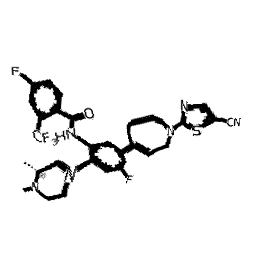 C[C@@H]1CN(c2cc(F)c(C3=CCN(c4ncc(C#N)s4)CC3)cc2NC(=O)c2ccc(F)cc2C(F)(F)F)CCN1C